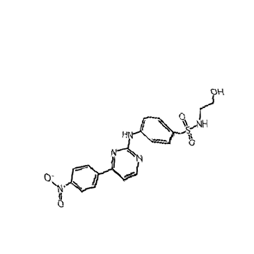 O=[N+]([O-])c1ccc(-c2ccnc(Nc3ccc(S(=O)(=O)NCCO)cc3)n2)cc1